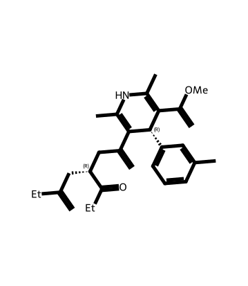 C=C(CC)C[C@H](CC(=C)C1=C(C)NC(C)=C(C(=C)OC)[C@@H]1c1cccc(C)c1)C(=O)CC